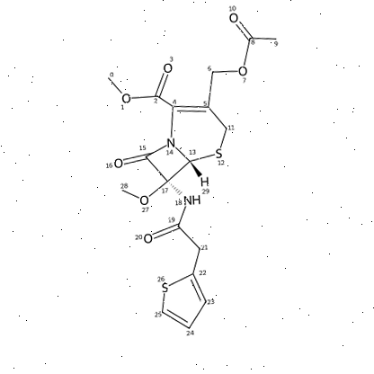 COC(=O)C1=C(COC(C)=O)CS[C@H]2N1C(=O)[C@]2(NC(=O)Cc1cccs1)OC